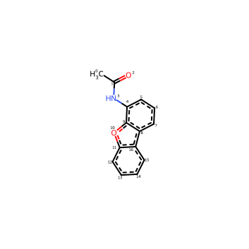 CC(=O)Nc1cccc2c1oc1ccccc12